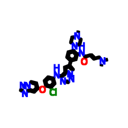 CN(C)C/C=C/C(=O)Nc1cc(-c2cc3c(Nc4ccc(Oc5ccn6ncnc6c5)c(Cl)c4)ncnn3c2)ccc1N1CCN(C)CC1